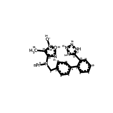 CCCN(Cc1ccc(-c2ccccc2-c2nnn[nH]2)cc1)c1no[n+]([O-])c1C